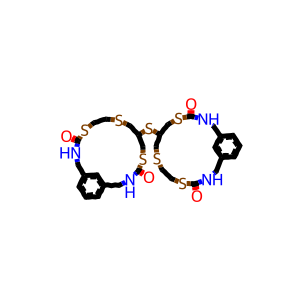 O=C1NCc2cccc(c2)CNC(=O)SCC(SC2CSCCSC(=O)NCc3cccc(c3)CNC(=O)SC2)CSCCS1